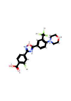 O=C(O)c1ccc(-c2noc(-c3ccc(N4CCOCC4)c(C(F)(F)F)c3)n2)cc1F